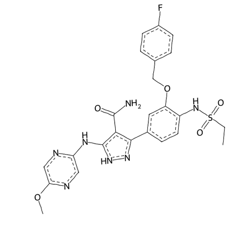 CCS(=O)(=O)Nc1ccc(-c2n[nH]c(Nc3cnc(OC)cn3)c2C(N)=O)cc1OCc1ccc(F)cc1